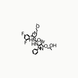 COCCN1C[C@@H](NC(=O)Nc2c(Br)c(OCC(C)O)nn2-c2ccccc2)[C@H](c2cc(F)cc(F)c2)C1